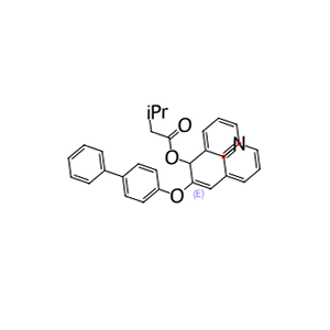 CC(C)CC(=O)OC(/C(=C\c1cccnc1)Oc1ccc(-c2ccccc2)cc1)c1ccccc1